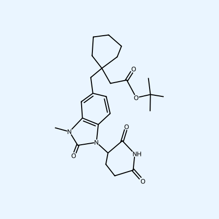 Cn1c(=O)n(C2CCC(=O)NC2=O)c2ccc(CC3(CC(=O)OC(C)(C)C)CCCCC3)cc21